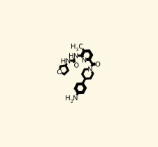 Cc1ccc(C(=O)N2CCC(c3ccc(N)cc3)CC2)nc1NC(=O)NC1CCOC1